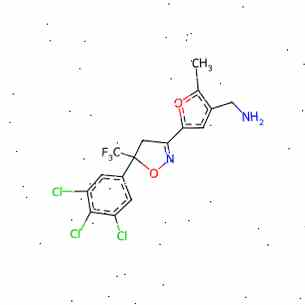 Cc1oc(C2=NOC(c3cc(Cl)c(Cl)c(Cl)c3)(C(F)(F)F)C2)cc1CN